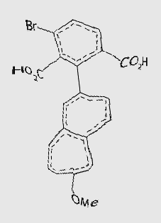 COc1ccc2cc(-c3c(C(=O)O)ccc(Br)c3C(=O)O)ccc2c1